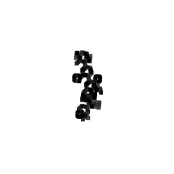 CCn1c(=O)c(-c2ccc(-c3nccnc3C)cc2Cl)cc2cnc(NC3CCOC(C)(C)C3)nc21